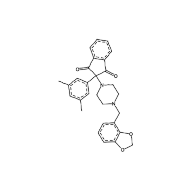 Cc1cc(C)cc(C2(N3CCN(Cc4cccc5c4OCO5)CC3)C(=O)c3ccccc3C2=O)c1